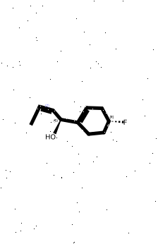 C/C=C\[C@H](O)C1=CC[C@H](F)CC1